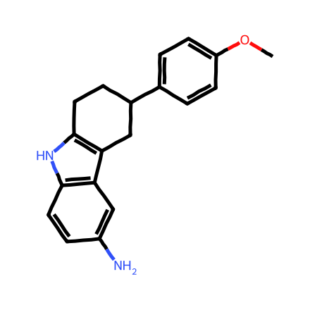 COc1ccc(C2CCc3[nH]c4ccc(N)cc4c3C2)cc1